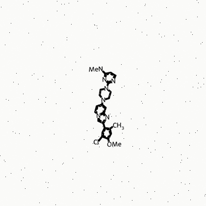 CNc1ccnc(N2CCN(c3ccn4cc(-c5cc(Cl)c(OC)cc5C)nc4c3)CC2)n1